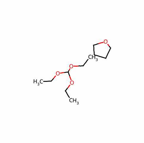 C1CCOC1.CCOC(OCC)OCC